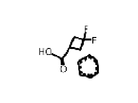 O=C(O)C1CC(F)(F)C1.c1ccccc1